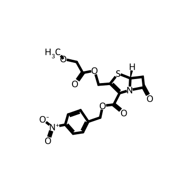 COCC(=O)OCC1=C(C(=O)OCc2ccc([N+](=O)[O-])cc2)N2C(=O)C[C@H]2S1